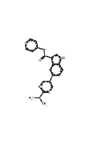 CN(C)c1ncc(-c2ccc3[nH]cc(C(=O)Nc4ccncc4)c3c2)cn1